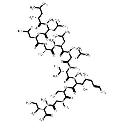 C/C=C/C[C@@H](C)[C@H](O)C(C(=O)N[C@H](CC)C(=O)N(C)CC(=O)N(C)[C@@H](C(N)=O)C(C)CC)N(C)C(=O)[C@H](C(C)C)N(C)C(=O)[C@@H](CC(C)C)N(C)C(=O)[C@H](CC(C)C)N(C)C(=O)[C@H](C)NC(=O)[C@@H](CC(C)C)NC(=O)[C@H](CC(C)C)N(C)C(=O)[C@H](C)CC(C)C